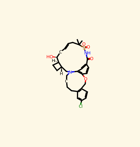 CC1(C)C/C=C/C[C@H](O)[C@@H]2CC[C@H]2CN2CCCCc3cc(Cl)ccc3COc3ccc(cc32)C(=O)NS1(=O)=O